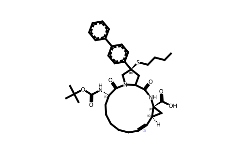 CCCCS[C@@]1(c2ccc(-c3ccccc3)cc2)CC2C(=O)N[C@]3(C(=O)O)C[C@H]3/C=C\CCCCC[C@H](NC(=O)OC(C)(C)C)C(=O)N2C1